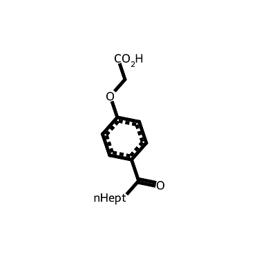 CCCCCCCC(=O)c1ccc(OCC(=O)O)cc1